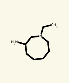 CCN1CCCCCC(N)C1